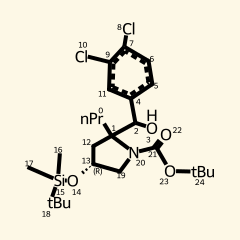 CCCC1(C(O)c2ccc(Cl)c(Cl)c2)C[C@@H](O[Si](C)(C)C(C)(C)C)CN1C(=O)OC(C)(C)C